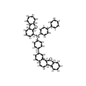 c1ccc(-c2ccc(N(c3ccc(-c4ccc5ccc6c7ccccc7oc6c5c4)cc3)c3cccc4c3oc3ccccc34)cc2)cc1